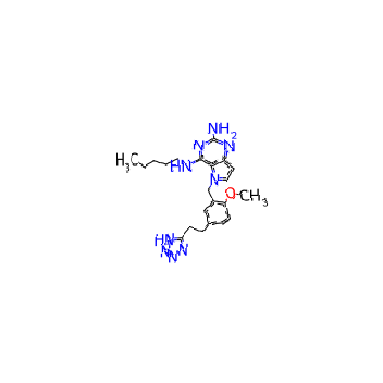 CCCCCNc1nc(N)nc2ccn(Cc3cc(CCc4nnn[nH]4)ccc3OC)c12